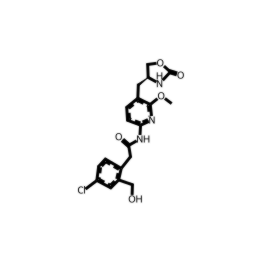 COc1nc(NC(=O)Cc2ccc(Cl)cc2CO)ccc1C[C@H]1COC(=O)N1